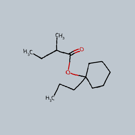 CCCC1(OC(=O)C(C)CC)CCCCC1